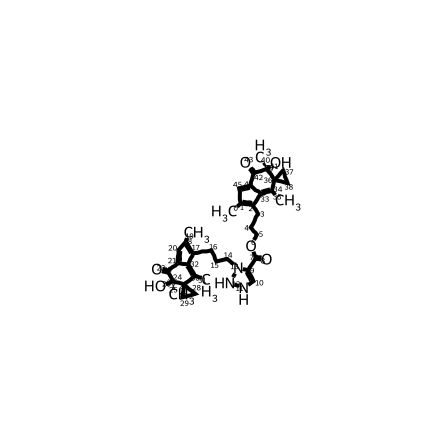 CC1=C(CCCOC(=O)C2=CNNN2CCCC2=C(C)C=C3C(=O)[C@](C)(O)C4(CC4)C(C)=C32)C2=C(C)C3(CC3)[C@@](C)(O)C(=O)C2=C1